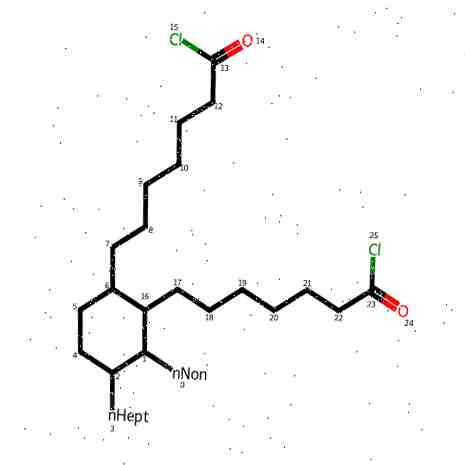 CCCCCCCCCC1C(CCCCCCC)CCC(CCCCCCC(=O)Cl)C1CCCCCCC(=O)Cl